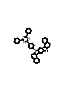 c1ccc(-c2nc(-c3ccccc3)nc(-c3ccc(-n4c5cc6c(cc5c5c7ccccc7ccc54)oc4ccc5ccccc5c46)cc3)n2)cc1